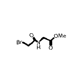 COC(=O)CNC(=O)CBr